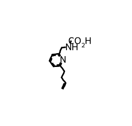 C=CCCc1cccc(CNC(=O)O)n1